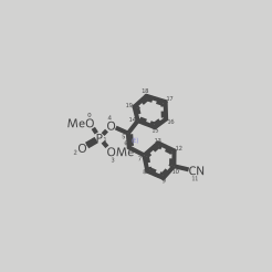 COP(=O)(OC)O/C(=C/c1ccc(C#N)cc1)c1ccccc1